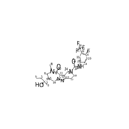 CCC(C)(O)[C@@H]1CN(C)C(=O)c2c3c(nn2C1)CCN(C(=O)Nc1ccc(F)c(C(F)(F)F)c1)C3